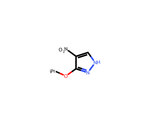 CC(C)Oc1n[nH]cc1[N+](=O)[O-]